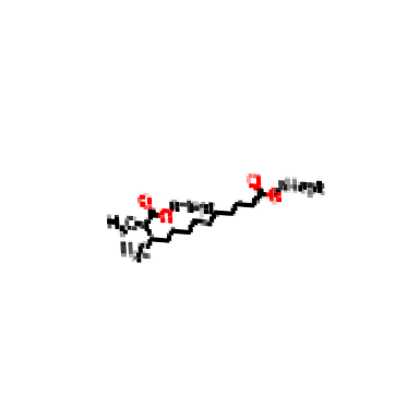 CCCCCCCOC(=O)CCCCCCCCCC(C)C(C)C(=O)OCCCCCCC